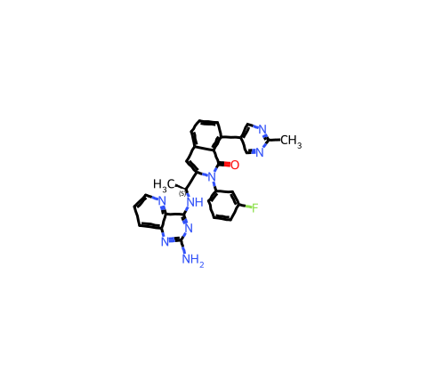 Cc1ncc(-c2cccc3cc([C@H](C)Nc4nc(N)nc5cccnc45)n(-c4cccc(F)c4)c(=O)c23)cn1